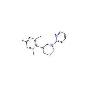 Cc1cc(C)c(N2CCCN(c3ccccn3)C2)c(C)c1